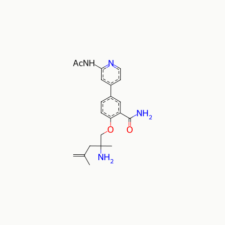 C=C(C)CC(C)(N)COc1ccc(-c2ccnc(NC(C)=O)c2)cc1C(N)=O